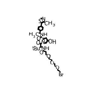 Cc1ncsc1-c1ccc(C(C)NC(=O)[C@@H]2C[C@@H](O)CN2C(=O)C(NC(=O)CCOCCOCCOCCBr)C(C)(C)C)cc1